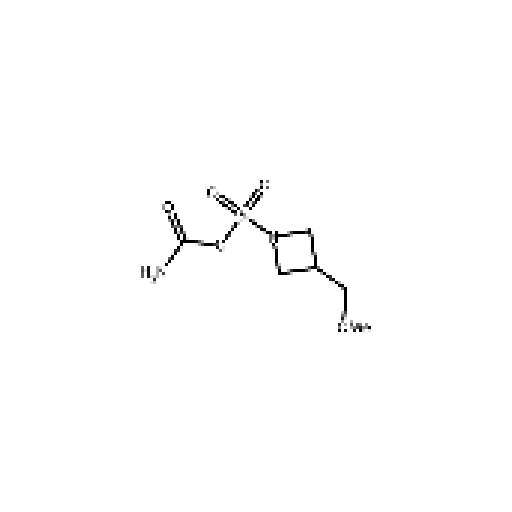 COCC1CN(S(=O)(=O)OC(N)=O)C1